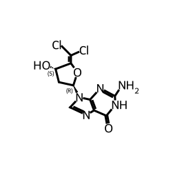 Nc1nc2c(ncn2[C@H]2C[C@H](O)C(=C(Cl)Cl)O2)c(=O)[nH]1